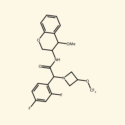 COC1c2ccccc2OCC1NC(=O)C(c1ccc(F)cc1F)N1CC(OC(F)(F)F)C1